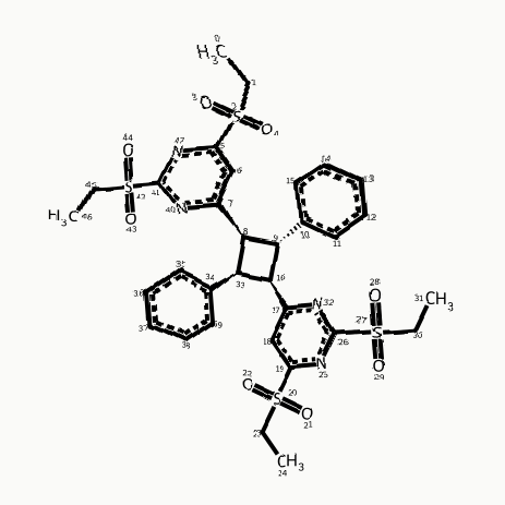 CCS(=O)(=O)c1cc([C@H]2[C@H](c3ccccc3)[C@@H](c3cc(S(=O)(=O)CC)nc(S(=O)(=O)CC)n3)[C@H]2c2ccccc2)nc(S(=O)(=O)CC)n1